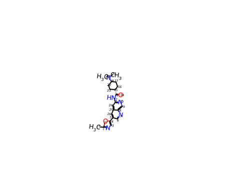 Cc1ncc(-c2cnc3cnc(NC(=O)[C@H]4CC[C@H](N(C)C)CC4)cc3c2)o1